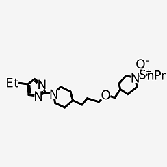 CCC[S+]([O-])N1CCC(COCCCC2CCN(c3ncc(CC)cn3)CC2)CC1